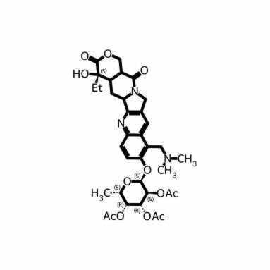 CC[C@@]1(O)C(=O)OCC2C(=O)N3Cc4cc5c(CN(C)C)c(O[C@@H]6O[C@@H](C)[C@@H](OC(C)=O)[C@@H](OC(C)=O)[C@@H]6OC(C)=O)ccc5nc4C3CC21